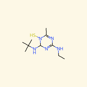 CCNC1=NC(NC(C)(C)C)N(S)C(C)=N1